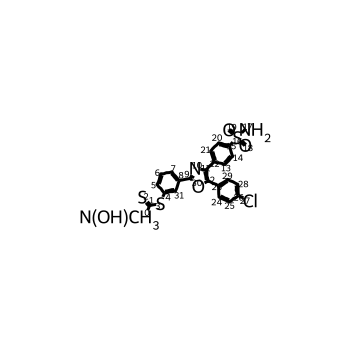 CN(O)C(=S)Sc1cccc(-c2nc(-c3ccc(S(N)(=O)=O)cc3)c(-c3ccc(Cl)cc3)o2)c1